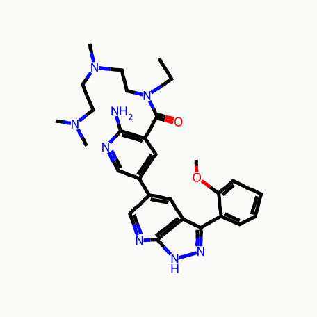 CCN(CCN(C)CCN(C)C)C(=O)c1cc(-c2cnc3[nH]nc(-c4ccccc4OC)c3c2)cnc1N